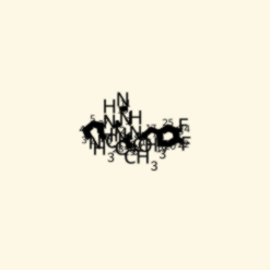 Cc1ncccc1N/C(=N\C#N)NC(NC(=O)Cc1ccc(F)c(F)c1)C(C)(C)C